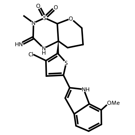 COc1cccc2cc(-c3cc(Cl)c([C@]45CCCOC4S(=O)(=O)N(C)C(=N)N5)s3)[nH]c12